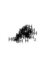 Nc1nc2c(ncn2[C@@H]2O[C@H](CO)[C@@H](O)[C@H]2O)c(=O)[nH]1.Nc1nc2c(ncn2[C@H]2C[C@H](O)[C@@H](CO)O2)c(=O)[nH]1.Nc1ncnc2c1ncn2[C@H]1C[C@H](O)[C@@H](CO)O1